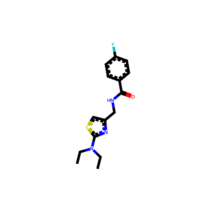 CCN(CC)c1nc(CNC(=O)c2ccc(F)cc2)cs1